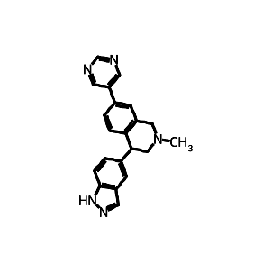 CN1Cc2cc(-c3cncnc3)ccc2C(c2ccc3[nH]ncc3c2)C1